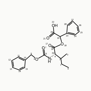 CCC(C)[C@H](NC(=O)OCc1ccccc1)C(=O)OC(C(=O)O)c1ccccc1